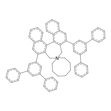 c1ccc(-c2cc(-c3ccccc3)cc(-c3cc4ccccc4c4c3C[N+]3(CCCCCCC3)Cc3c(-c5cc(-c6ccccc6)cc(-c6ccccc6)c5)cc5ccccc5c3-4)c2)cc1